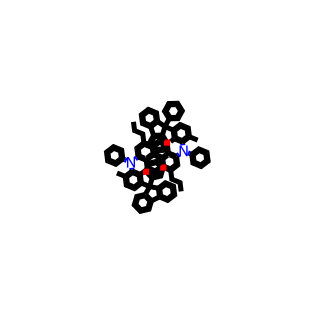 CCCc1cc(N(c2ccccc2)c2c(C)ccc(C3(c4ccccc4)c4ccccc4-c4ccccc43)c2C)c2ccc3c(CCC)cc(N(c4ccccc4)c4c(C)ccc(C5(c6ccccc6)c6ccccc6-c6ccccc65)c4C)c4ccc1c2c34